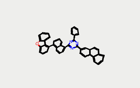 C1=CC2c3ccccc3C=CC2C=C1c1nc(-c2ccccc2)nc(-c2cccc3c(-c4cccc5oc6ccccc6c45)cccc23)n1